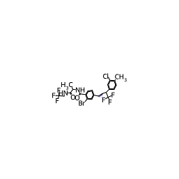 Cc1ccc(C(/C=C/c2ccc(C(=O)NC(C)C(=O)NCC(F)(F)F)c(Br)c2)C(F)(F)F)cc1Cl